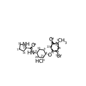 Cl.Cn1cc(Br)c(O[C@H]2CC[C@H](NC(=O)[C@H]3CCCN3)CC2)cc1=O